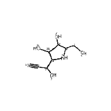 N#CC(O)C1NC(CO)C(O)C1O